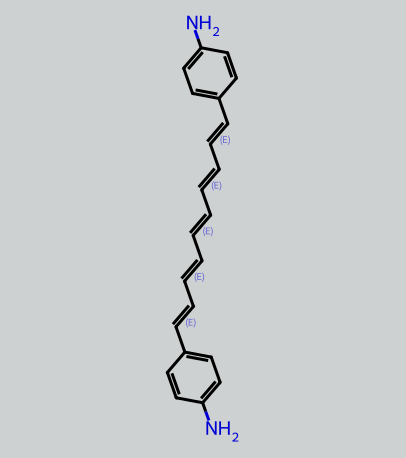 Nc1ccc(/C=C/C=C/C=C/C=C/C=C/c2ccc(N)cc2)cc1